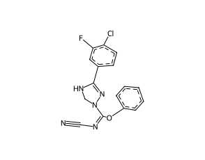 N#C/N=C(/Oc1ccccc1)N1CNC(c2ccc(Cl)c(F)c2)=N1